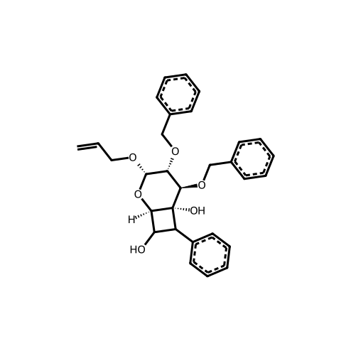 C=CCO[C@H]1O[C@@H]2C(O)C(c3ccccc3)[C@]2(O)[C@H](OCc2ccccc2)[C@H]1OCc1ccccc1